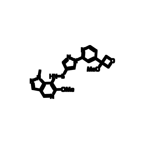 COc1ncc2cnn(C)c2c1NSc1cnn(-c2cc(C3(OC)COC3)ccn2)c1